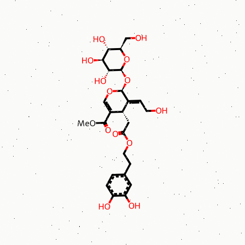 COC(=O)C1=CO[C@@H](O[C@@H]2O[C@H](CO)[C@@H](O)[C@H](O)[C@H]2O)/C(=C/CO)[C@@H]1CC(=O)OCCc1ccc(O)c(O)c1